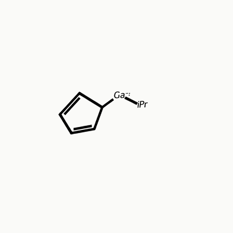 C[CH](C)[Ga-][CH]1C=CC=C1